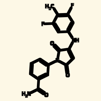 Cc1c(F)cc(NC2=CC(=O)N(c3cccc(C(N)=O)c3)C2=O)cc1F